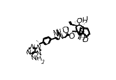 C=C[C@]1(C)C[C@@H](OC(=O)Cn2cc(-c3ccc([C@@H](C)n4cnc5c(N)ncnc54)cc3)nn2)[C@]2(C)[C@H](C)CC[C@]3(CCC(=O)[C@H]32)[C@@H](C)[C@@H]1O